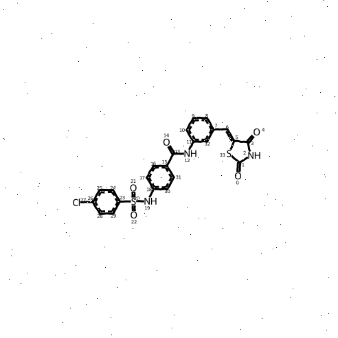 O=C1NC(=O)C(=Cc2cccc(NC(=O)c3ccc(NS(=O)(=O)c4ccc(Cl)cc4)cc3)c2)S1